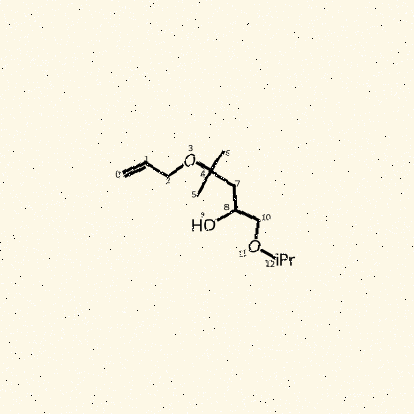 C=CCOC(C)(C)CC(O)COC(C)C